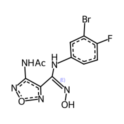 CC(=O)Nc1nonc1/C(=N\O)Nc1ccc(F)c(Br)c1